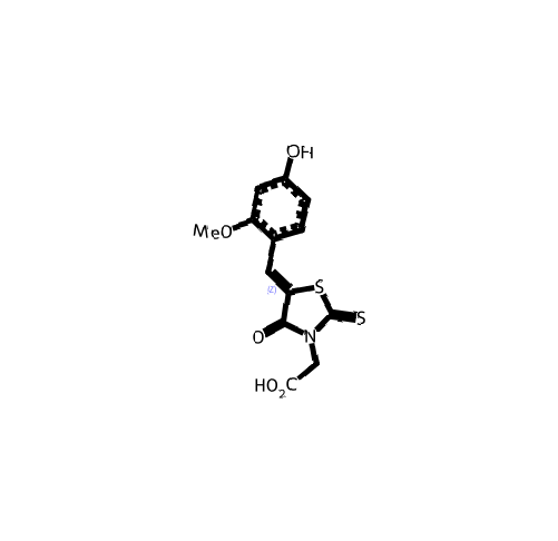 COc1cc(O)ccc1/C=C1\SC(=S)N(CC(=O)O)C1=O